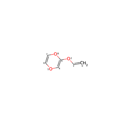 C=COC1=COC=CO1